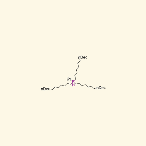 CCCCCCCCCCCCCCCCC[PH](CCCCCCCCCCCCCCCCC)(CCCCCCCCCCCCCCCCC)C(C)C